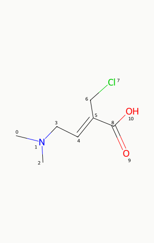 CN(C)CC=C(CCl)C(=O)O